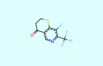 O=C1CCSc2c1cnc(C(F)(F)F)c2F